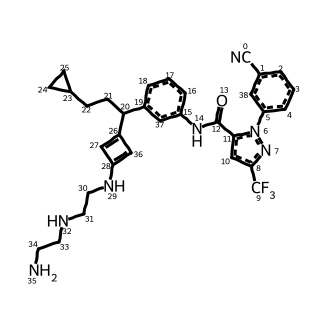 N#Cc1cccc(-n2nc(C(F)(F)F)cc2C(=O)Nc2cccc(C(CCC3CC3)C3=CC(NCCNCCN)=C3)c2)c1